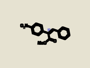 COC(=O)/C(=C\c1ccccc1)c1ccc([N+](=O)[O-])cc1